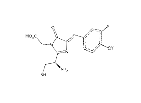 N[C@@H](CS)C1=N/C(=C\c2ccc(O)c(F)c2)C(=O)N1CC(=O)O